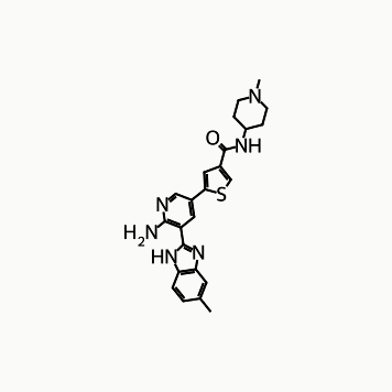 Cc1ccc2[nH]c(-c3cc(-c4cc(C(=O)NC5CCN(C)CC5)cs4)cnc3N)nc2c1